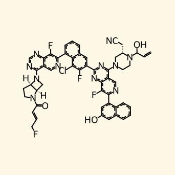 C=CC(O)N1CCN(c2nc(-c3cc4cccc(-c5ncc6c(N7C[C@@H]8[C@H]7CCN8C(=O)/C=C/CF)ncnc6c5F)c4c(Cl)c3F)nc3c(F)c(-c4cc(O)cc5ccccc45)ncc23)C[C@@H]1CC#N